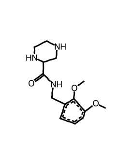 COc1cccc(CNC(=O)C2CNCCN2)c1OC